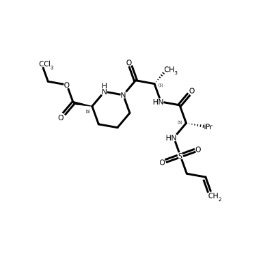 C=CCS(=O)(=O)N[C@H](C(=O)N[C@@H](C)C(=O)N1CCC[C@@H](C(=O)OCC(Cl)(Cl)Cl)N1)C(C)C